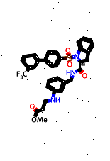 COC(=O)CCNc1cccc(CNC(=O)[C@@H]2Cc3ccccc3N2S(=O)(=O)c2ccc(-c3cccc(C(F)(F)F)c3)cc2)c1